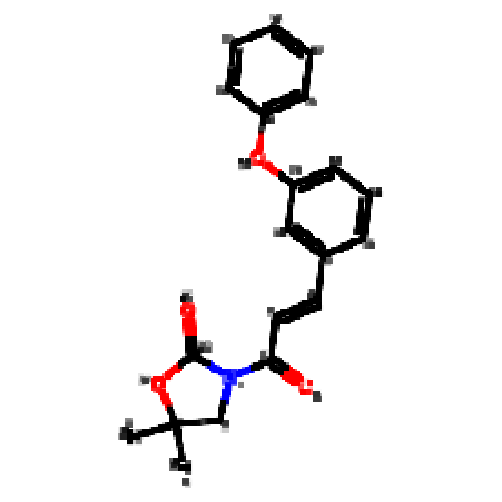 [2H]C1([2H])CN(C(=O)C=Cc2cccc(Oc3ccccc3)c2)C(=O)O1